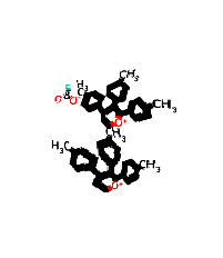 Cc1ccc(-c2cc[o+]c(-c3ccc(C)cc3)c2-c2ccc(C)cc2)cc1.Cc1ccc(-c2cc[o+]c(-c3ccc(C)cc3)c2-c2ccc(C)cc2)cc1.[O-]B([O-])F